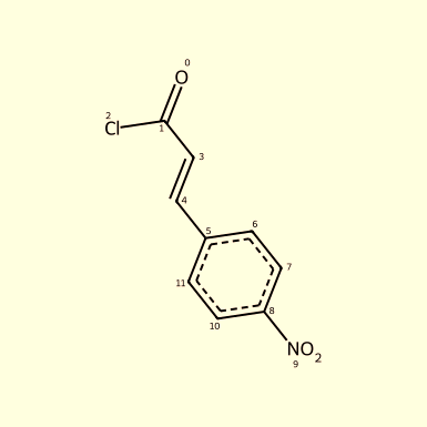 O=C(Cl)/C=C/c1ccc([N+](=O)[O-])cc1